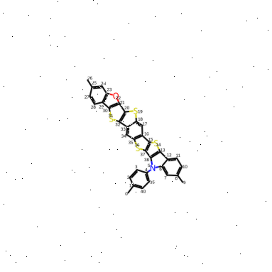 Cc1ccc(-n2c3cc(C)ccc3c3sc4c5cc6sc7c8oc9cc(C)ccc9c8sc7c6cc5sc4c32)cc1